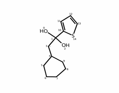 OC(O)([CH]C1CCCCC1)c1cccs1